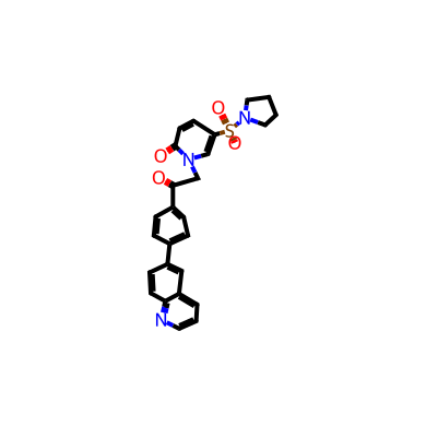 O=C(Cn1cc(S(=O)(=O)N2CCCC2)ccc1=O)c1ccc(-c2ccc3ncccc3c2)cc1